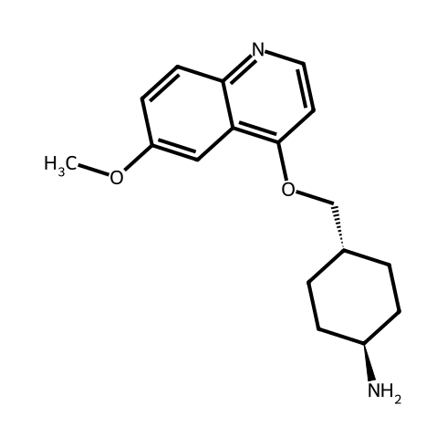 COc1ccc2nccc(OC[C@H]3CC[C@H](N)CC3)c2c1